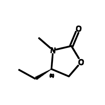 CC[C@H]1COC(=O)N1C